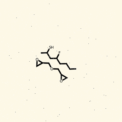 C(OCC1CO1)C1CO1.CCCCC(F)CC(C)S